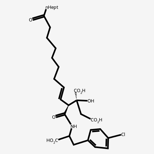 CCCCCCCC(=O)CCCCCC/C=C/[C@H](C(=O)NC(Cc1ccc(Cl)cc1)C(=O)O)[C@@](O)(CC(=O)O)C(=O)O